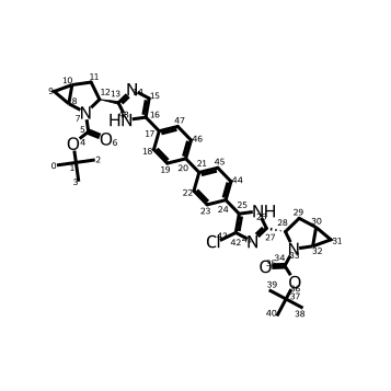 CC(C)(C)OC(=O)N1C2CC2C[C@H]1c1ncc(-c2ccc(-c3ccc(-c4[nH]c([C@@H]5CC6CC6N5C(=O)OC(C)(C)C)nc4Cl)cc3)cc2)[nH]1